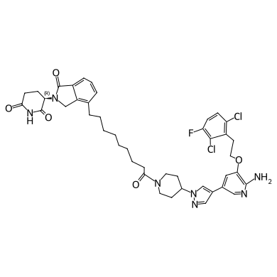 Nc1ncc(-c2cnn(C3CCN(C(=O)CCCCCCCCc4cccc5c4CN([C@@H]4CCC(=O)NC4=O)C5=O)CC3)c2)cc1OCCc1c(Cl)ccc(F)c1Cl